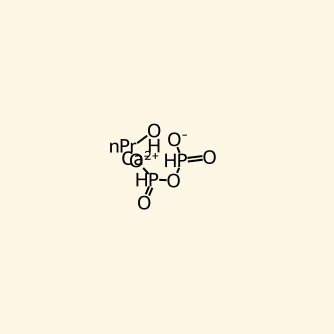 CCCO.O=[PH]([O-])O[PH](=O)[O-].[Ca+2]